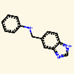 c1ccc(NCc2ccc3[nH]cnc3c2)cc1